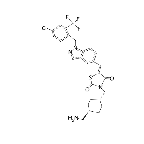 NC[C@H]1CC[C@H](CN2C(=O)SC(=Cc3ccc4c(cnn4Cc4ccc(Cl)cc4C(F)(F)F)c3)C2=O)CC1